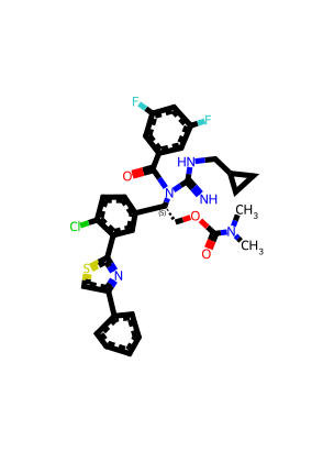 CN(C)C(=O)OC[C@H](c1ccc(Cl)c(-c2nc(-c3ccccc3)cs2)c1)N(C(=N)NCC1CC1)C(=O)c1cc(F)cc(F)c1